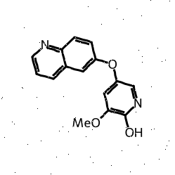 COc1cc(Oc2ccc3ncccc3c2)cnc1O